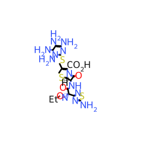 CCO/N=C(\C(=O)NC1C(=O)N2C(C(=O)O)=C(CSC3=NC(N)=C(N)C(N)N3N)CS[C@@H]12)c1nsc(N)n1